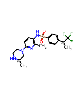 Cc1nc(N2CCN[C@H](C)C2)ccc1NS(=O)(=O)c1ccc([C@H](C)C(F)(F)F)cc1